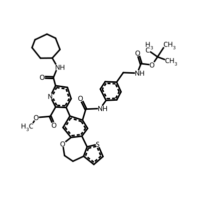 COC(=O)c1nc(C(=O)NC2CCCCCC2)ccc1-c1cc2c(cc1C(=O)Nc1ccc(CNC(=O)OC(C)(C)C)cc1)-c1sccc1CCO2